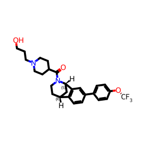 O=C(C1CCN(CCCO)CC1)N1CC[C@@H]2C[C@H]1c1cc(-c3ccc(OC(F)(F)F)cc3)ccc12